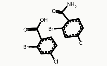 NC(=O)c1ccc(Cl)cc1Br.O=C(O)c1ccc(Cl)cc1Br